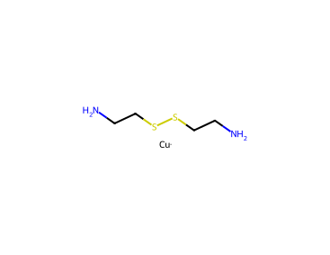 NCCSSCCN.[Cu]